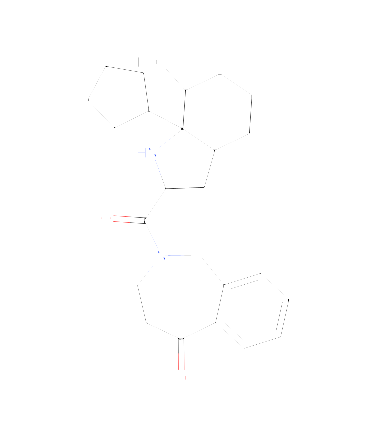 CC1CCCC2CC(C(=O)N3CCC(=O)c4ccccc4C3)NC12C1CCCC1